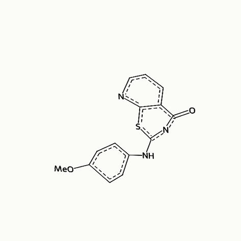 COc1ccc(Nc2nc(=O)c3cccnc3s2)cc1